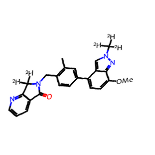 [2H]C1([2H])c2ncccc2C(=O)N1Cc1ccc(-c2ccc(OC)c3nn(C([2H])([2H])[2H])cc23)cc1C